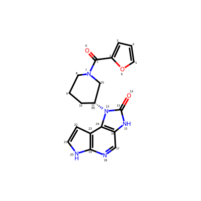 O=C(c1ccco1)N1CCC[C@@H](n2c(=O)[nH]c3cnc4[nH]ccc4c32)C1